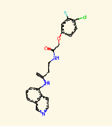 C=C(CCNC(=O)COc1ccc(Cl)c(F)c1)Nc1cccc2cnccc12